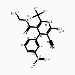 CCOC(=O)C1=C(C(F)(F)F)NC(N)=C(C#N)C1c1cccc([N+](=O)[O-])c1